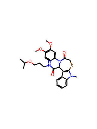 COc1ccc(N2C(=O)CSc3c(c4ccccc4n3C)C2C(=O)NCCCOC(C)C)cc1OC